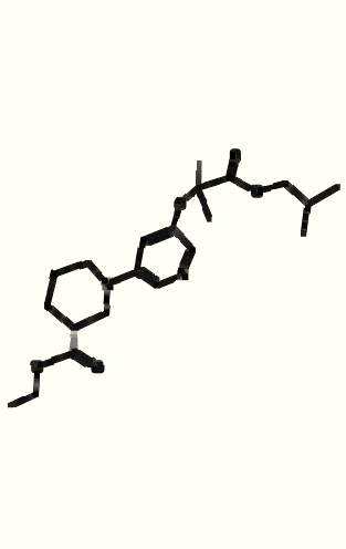 CCOC(=O)[C@@H]1CCCN(c2cncc(OC(C)(C)C(=O)OCC(C)C)c2)C1